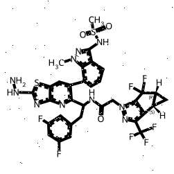 Cn1nc(NS(C)(=O)=O)c2cccc(-c3cc4sc(NN)nc4nc3C(Cc3cc(F)cc(F)c3)NC(=O)Cn3nc(C(F)(F)F)c4c3C(F)(F)[C@@H]3C[C@H]43)c21